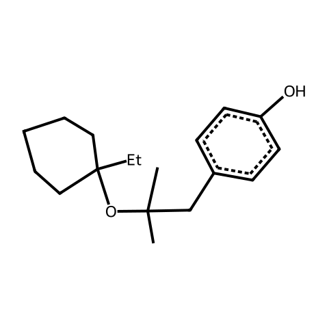 CCC1(OC(C)(C)Cc2ccc(O)cc2)CCCCC1